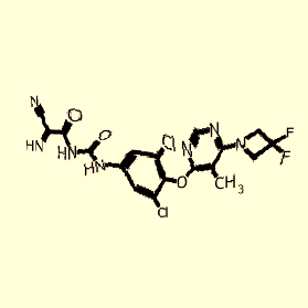 Cc1c(Oc2c(Cl)cc(NC(=O)NC(=O)C(=N)C#N)cc2Cl)ncnc1N1CC(F)(F)C1